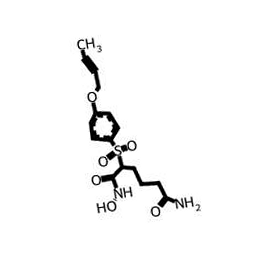 CC#CCOc1ccc(S(=O)(=O)C(CCCC(N)=O)C(=O)NO)cc1